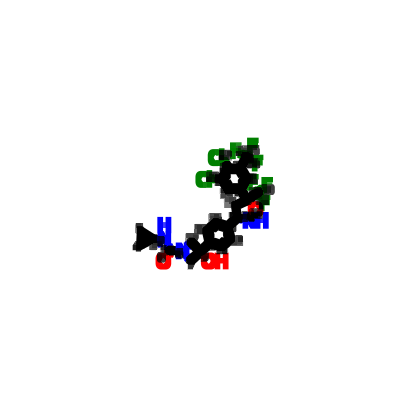 O=C(NC1CC1)N1CC(O)(c2ccc(C3CC(c4cc(Cl)c(Cl)c(C(F)(F)F)c4)(C(F)(F)F)ON3)cc2)C1